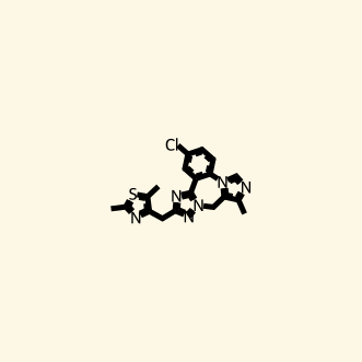 Cc1nc(Cc2nc3n(n2)Cc2c(C)ncn2-c2ccc(Cl)cc2-3)c(C)s1